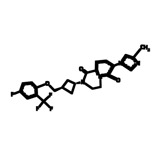 Cc1cn(-c2ccc3n(c2=O)CCN([C@H]2C[C@H](COc4ccc(F)cc4C(F)(F)F)C2)C3=O)cn1